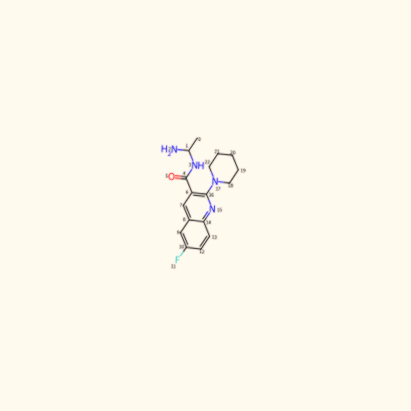 CC(N)NC(=O)c1cc2cc(F)ccc2nc1N1CCCCC1